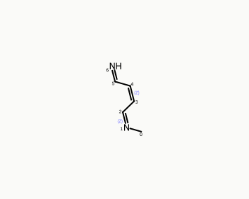 C/N=C\C=C/C=N